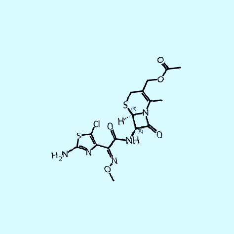 CON=C(C(=O)N[C@@H]1C(=O)N2C(C)=C(COC(C)=O)CS[C@H]12)c1nc(N)sc1Cl